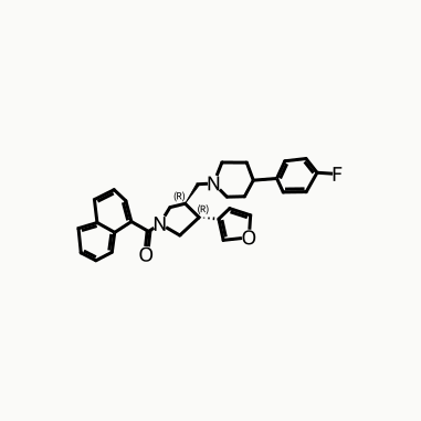 O=C(c1cccc2ccccc12)N1C[C@@H](CN2CCC(c3ccc(F)cc3)CC2)[C@H](c2ccoc2)C1